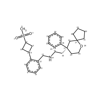 CS(=O)(=O)C1CN(c2ccccc2CNCC[C@@]2(c3ccccn3)CCOC3(CCCC3)C2)C1